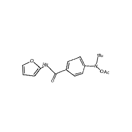 CC(=O)ON(c1ccc(C(=O)Nc2ccco2)cc1)C(C)(C)C